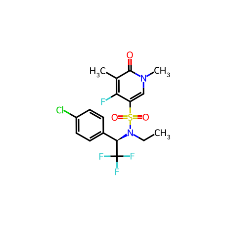 CCN([C@H](c1ccc(Cl)cc1)C(F)(F)F)S(=O)(=O)c1cn(C)c(=O)c(C)c1F